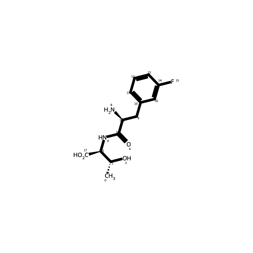 C[C@@H](O)[C@H](NC(=O)[C@@H](N)Cc1cccc(F)c1)C(=O)O